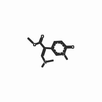 COC(=O)/C(=C/N(C)C)c1ccc(=O)n(C)c1